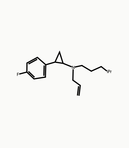 C=CCN(CCCC(C)C)C1CC1c1ccc(F)cc1